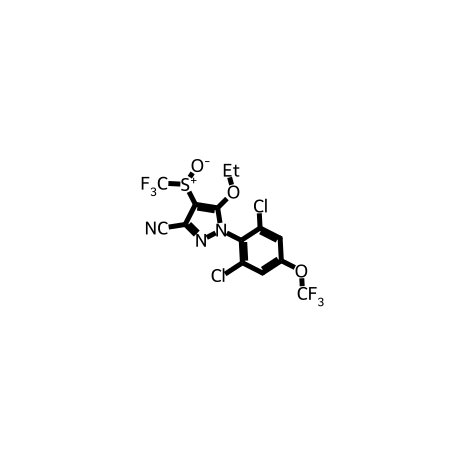 CCOc1c([S+]([O-])C(F)(F)F)c(C#N)nn1-c1c(Cl)cc(OC(F)(F)F)cc1Cl